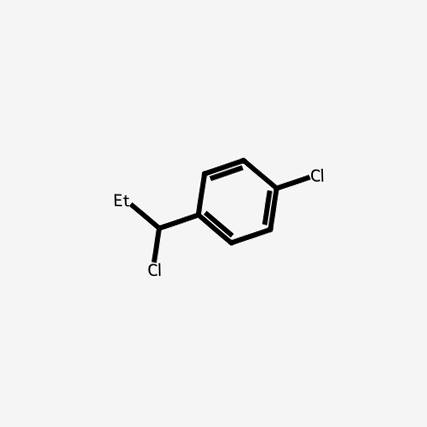 CCC(Cl)c1ccc(Cl)cc1